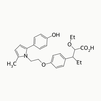 CCOC(C(=O)O)C(CC)c1ccc(OCCn2c(C)ccc2-c2ccc(O)cc2)cc1